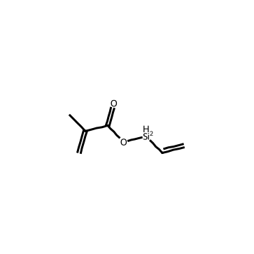 C=C[SiH2]OC(=O)C(=C)C